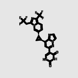 O=c1[nH]cc(-c2cc([C@H]3C[C@@H]3c3ccc4c(C(F)(F)F)nc(CC(F)(F)F)n4c3)c3nccn3n2)c(=O)[nH]1